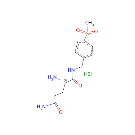 CS(=O)(=O)c1ccc(CNC(=O)[C@@H](N)CCC(N)=O)cc1.Cl